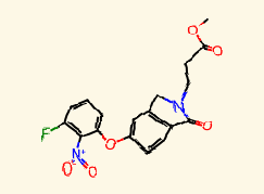 COC(=O)CCN1Cc2cc(Oc3cccc(F)c3[N+](=O)[O-])ccc2C1=O